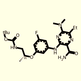 CCc1nc(C(N)=O)c(Nc2cc(F)cc(O[C@H](C)CNC(=O)OC(C)(C)C)c2)nc1N(C)C